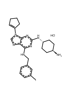 Cl.N[C@H]1CC[C@H](Nc2nc(NCc3cccc(I)c3)c3ncn(C4=CCCC4)c3n2)CC1